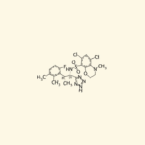 Cc1ccc(F)c([C@@H](C)[C@H](NS(=O)(=O)c2c(Cl)cc(Cl)c3c2OCCN3C)c2nn[nH]n2)c1C